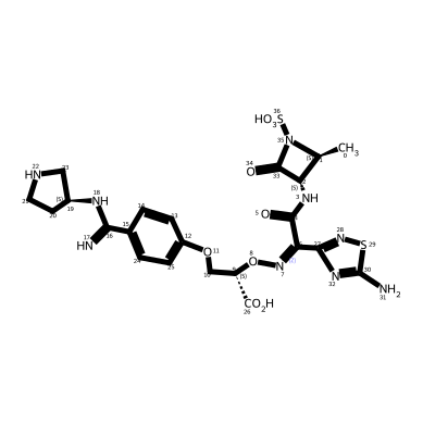 C[C@H]1[C@H](NC(=O)/C(=N\O[C@@H](COc2ccc(C(=N)N[C@H]3CCNC3)cc2)C(=O)O)c2nsc(N)n2)C(=O)N1S(=O)(=O)O